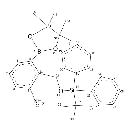 CC1(C)OB(c2cccc(N)c2CO[Si](c2ccccc2)(c2ccccc2)C(C)(C)C)OC1(C)C